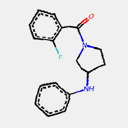 O=C(c1ccccc1F)N1CCC(Nc2ccccc2)C1